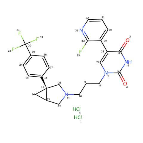 Cl.Cl.O=c1[nH]c(=O)n(CCCN2CC3C[C@]3(c3ccc(C(F)(F)F)cc3)C2)cc1-c1cccnc1F